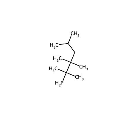 CC(C)CC(C)(C)C(C)(C)P